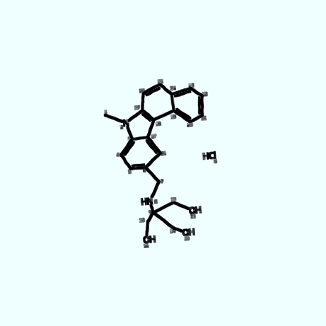 Cl.Cn1c2ccc(CNC(CO)(CO)CO)cc2c2c3ccccc3ccc21